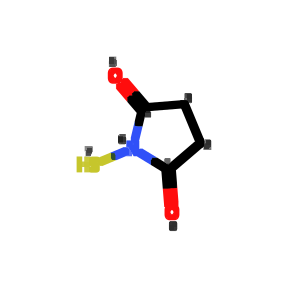 O=C1CCC(=O)N1S